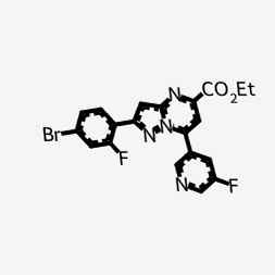 CCOC(=O)c1cc(-c2cncc(F)c2)n2nc(-c3ccc(Br)cc3F)cc2n1